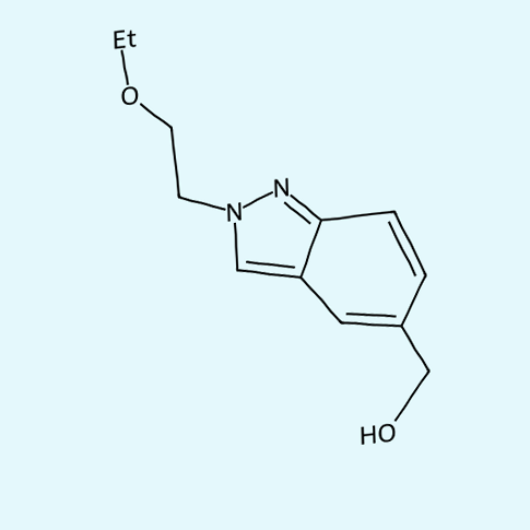 CCOCCn1cc2cc(CO)ccc2n1